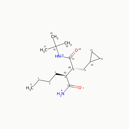 CCCC[C@H](C(N)=O)[C@@H](CC1CC1)C(=O)NC(C)(C)C